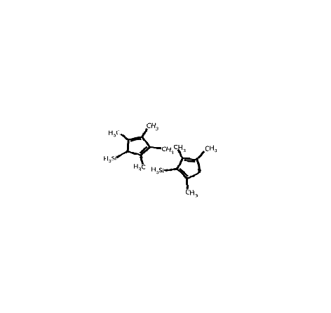 CC1=C(C)C([SiH3])=C(C)C1.CC1=C(C)C([SiH3])C(C)=C1C